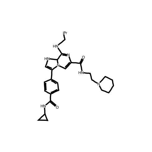 CC(C)CNC1=NC(C(=O)NCCN2CCCCC2)=CN2C(c3ccc(C(=O)NC4CC4)cc3)=CNC12